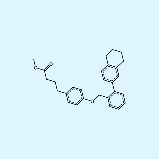 COC(=O)CCCc1ccc(OCc2ccccc2-c2ccc3c(c2)CCCC3)cc1